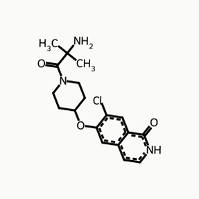 CC(C)(N)C(=O)N1CCC(Oc2cc3cc[nH]c(=O)c3cc2Cl)CC1